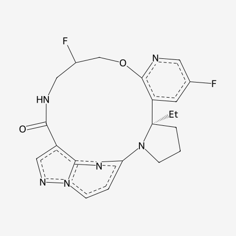 CC[C@]12CCCN1c1ccn3ncc(c3n1)C(=O)NCC(F)COc1ncc(F)cc12